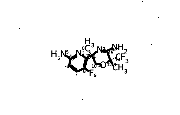 C[C@@]1(c2nc(N)ccc2F)CO[C@@](C)(C(F)(F)F)C(N)=N1